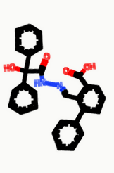 O=C(O)c1cccc(-c2ccccc2)c1C=NNC(=O)C(O)(c1ccccc1)c1ccccc1